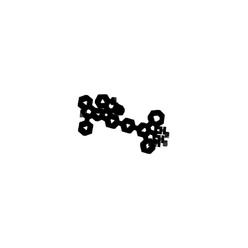 C=C1CCC=CC=C1C1C=C(c2ccc(-c3ccc4c(c3)C3(c5ccccc5Sc5ccccc53)c3cc5c(cc3-4)c(-c3ccccc3)nc3ccccc35)cc2)C=C(C2C=CC=CN2)C1CC